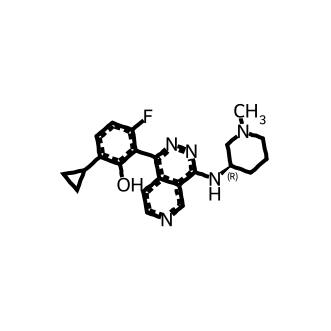 CN1CCC[C@@H](Nc2nnc(-c3c(F)ccc(C4CC4)c3O)c3ccncc23)C1